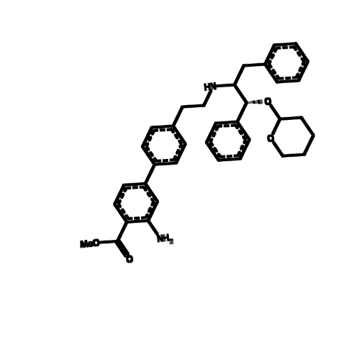 COC(=O)c1ccc(-c2ccc(CCNC(Cc3ccccc3)[C@H](OC3CCCCO3)c3ccccc3)cc2)cc1N